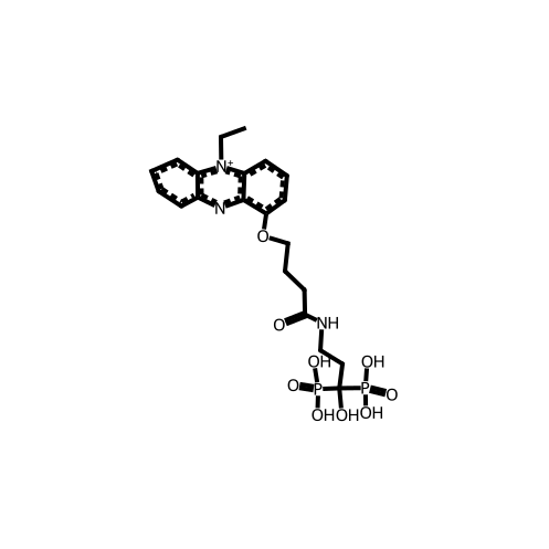 CC[n+]1c2ccccc2nc2c(OCCCC(=O)NCCC(O)(P(=O)(O)O)P(=O)(O)O)cccc21